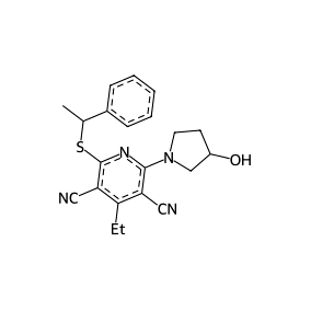 CCc1c(C#N)c(SC(C)c2ccccc2)nc(N2CCC(O)C2)c1C#N